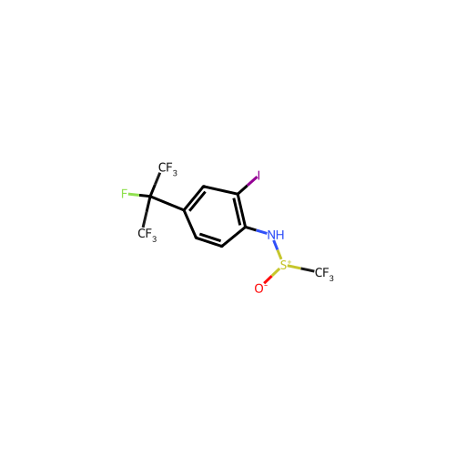 [O-][S+](Nc1ccc(C(F)(C(F)(F)F)C(F)(F)F)cc1I)C(F)(F)F